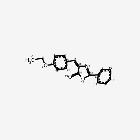 CCOc1ccc(/C=C2/N=C(c3ccccc3)OC2=O)cc1